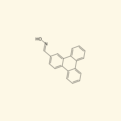 ON=Cc1ccc2c3ccccc3c3ccccc3c2c1